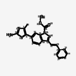 Cc1nc(N)sc1-c1ccc2c(C=Cc3ccccn3)nn(C(=O)OC(C)(C)C)c2c1